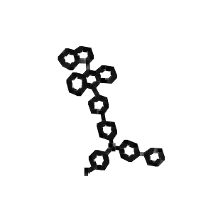 Fc1ccc(N(c2ccc(-c3ccccc3)cc2)c2ccc(-c3ccc(-c4c5ccccc5c(-c5cccc6ccccc56)c5ccccc45)cc3)cc2)cc1